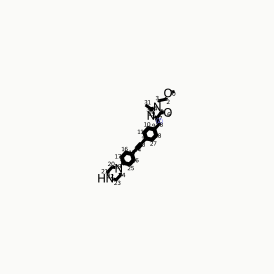 COCCN1C(=O)/C(=C/c2ccc(C#Cc3ccc(N4CCNCC4)cc3)cc2)N=C1C